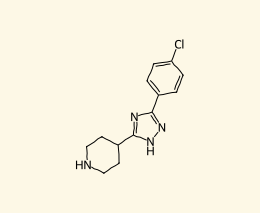 Clc1ccc(-c2n[nH]c(C3CCNCC3)n2)cc1